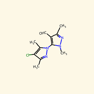 Cc1nn(-c2c(C=O)c(C)nn2C)c(C)c1Cl